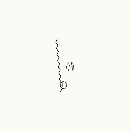 CCCCCCCCCCCCCC[NH+]1CCCC(C)C1.[F][Sb-]([F])([F])([F])([F])[F]